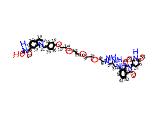 N/C(=C\N(N)CCOCCOCCOCCOc1ccc(Cn2ccc3ccc(C(=O)NO)cc32)cc1)CNc1cccc2c1C(=O)N(C1CCC(=O)NC1=O)C2=O